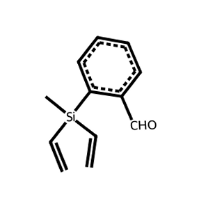 C=C[Si](C)(C=C)c1ccccc1C=O